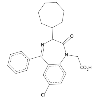 O=C(O)CN1C(=O)C(C2CCCCCC2)N=C(c2ccccc2)c2cc(Cl)ccc21